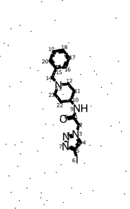 O=C(Cn1cc(I)nn1)NC1CCN(Cc2ccccc2)CC1